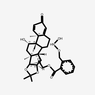 CC1(C)O[C@@H]2C[C@H]3C4CCC5=CC(=O)C=C[C@]5(C)[C@@]4(F)[C@@H](O)C[C@]3(C)[C@]2(C(=O)COC(=O)c2ccccc2CONO)O1